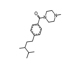 C[C](C)C(C)CCc1ccc(C(=O)N2CCN(C)CC2)cc1